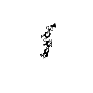 Cc1c(OC2CCN(C(=O)OC3(C)CC3)C[C@@H]2F)ncnc1N1Cc2cnn(C)c2C1